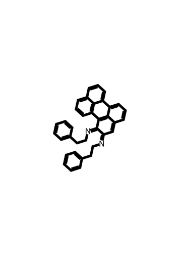 c1ccc(CCN=c2cc3cccc4c5cccc6cccc(c(c2=NCCc2ccccc2)c34)c65)cc1